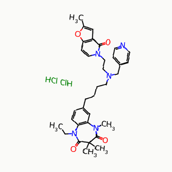 CCN1C(=O)C(C)(C)C(=O)N(C)c2cc(CCCCN(CCn3ccc4oc(C)cc4c3=O)Cc3ccncc3)ccc21.Cl.Cl